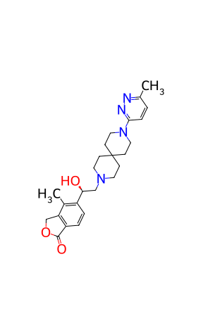 Cc1ccc(N2CCC3(CCN(C[C@H](O)c4ccc5c(c4C)COC5=O)CC3)CC2)nn1